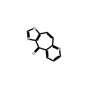 O=c1c2cccnc2ccc2ocnc12